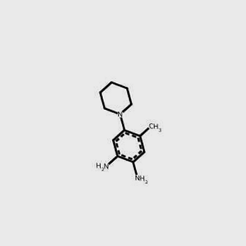 Cc1cc(N)c(N)cc1N1CCCCC1